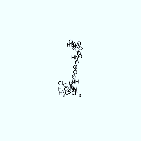 Cc1sc2c(c1C)C(c1ccc(Cl)cc1)=N[C@@H](CC(=O)NCCOCCOCCOCCOCCNC(=O)COC1CCC3c4c(cccc41)C(=O)N3C1CCC(=O)NC1=O)c1nnc(C)n1-2